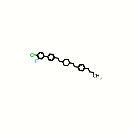 CCCCc1ccc(CCC2CCC(CCc3ccc(-c4ccc(Cl)c(F)c4)cc3)CC2)cc1